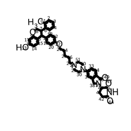 Cc1ccccc1C1COc2cc(O)ccc2C1c1ccc(OCCCCCN2CCN(c3ccc4c(c3)CN(C3CCC(=O)NC3=O)C4=O)CC2)cc1